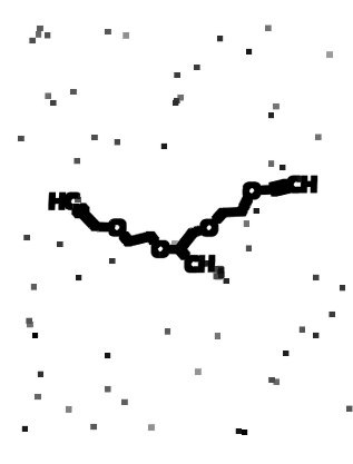 C#CCOCCOC(C)COCCOC#C